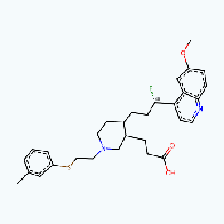 COc1ccc2nccc([C@@H](F)CCC3CCN(CCSc4cccc(C)c4)CC3CCC(=O)O)c2c1